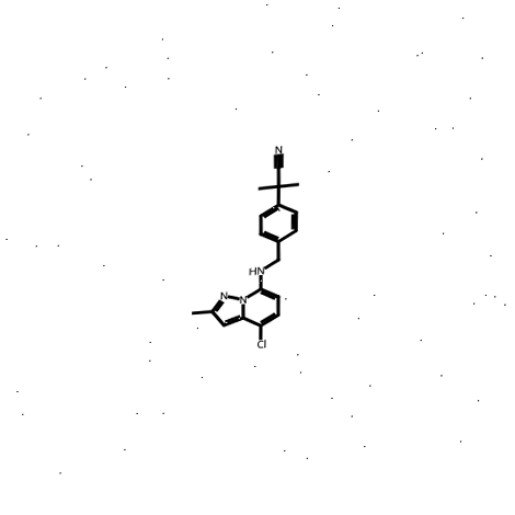 Cc1cc2c(Cl)ccc(NCc3ccc(C(C)(C)C#N)cc3)n2n1